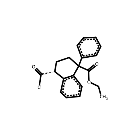 CCOC(=O)C1(c2ccccc2)CC[C@@H](C(=O)Cl)c2ccccc21